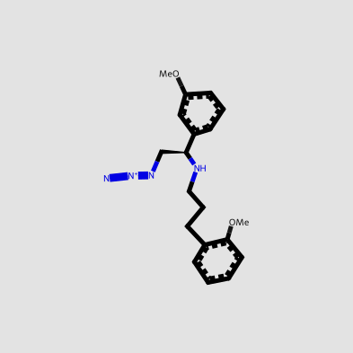 COc1cccc([C@H](CN=[N+]=[N-])NCCCc2ccccc2OC)c1